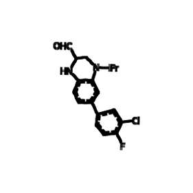 CC(C)N1CC(C=O)Nc2ccc(-c3ccc(F)c(Cl)c3)cc21